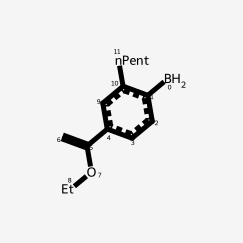 Bc1ccc(C(=C)OCC)cc1CCCCC